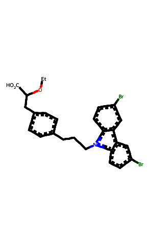 CCOC(Cc1ccc(CCCn2c3ccc(Br)cc3c3cc(Br)ccc32)cc1)C(=O)O